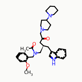 COc1cc#ccc1CN(C[C@@H](CC(=O)CN1CCC(N2CCCCC2)CC1)Cc1c[nH]c2ccccc12)C(C)=O